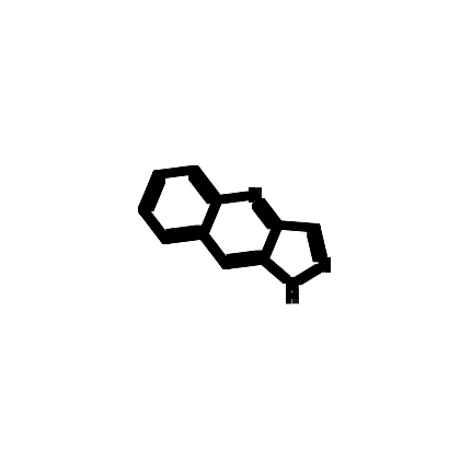 c1ccc2nc3cn[nH]c3cc2c1